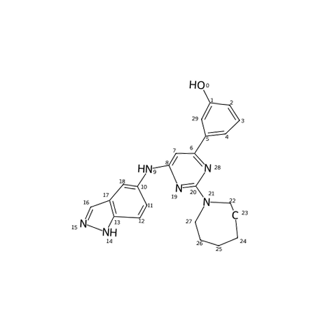 Oc1cccc(-c2cc(Nc3ccc4[nH]ncc4c3)nc(N3CCCCCC3)n2)c1